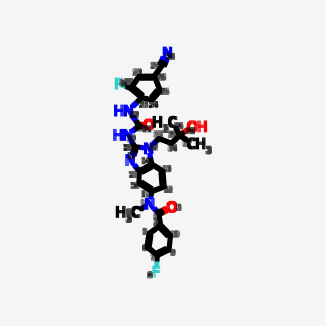 CN(C(=O)c1ccc(F)cc1)c1ccc2c(c1)nc(NC(=O)Nc1ccc(C#N)cc1F)n2CCC(C)(C)O